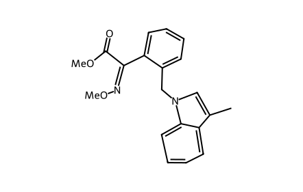 CON=C(C(=O)OC)c1ccccc1Cn1cc(C)c2ccccc21